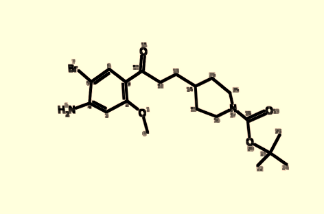 COc1cc(N)c(Br)cc1C(=O)CCC1CCN(C(=O)OC(C)(C)C)CC1